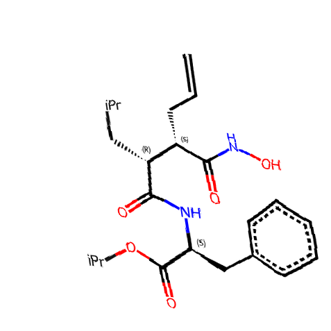 C=CC[C@H](C(=O)NO)[C@@H](CC(C)C)C(=O)N[C@@H](Cc1ccccc1)C(=O)OC(C)C